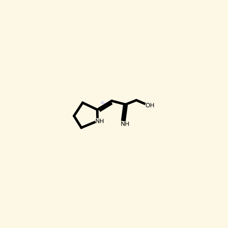 N=C(/C=C1/CCCN1)CO